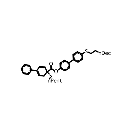 CCCCCCCCCCCCSc1ccc(-c2ccc(OC(=O)C3(SCCCCC)C=CC(c4ccccc4)=CC3)cc2)cc1